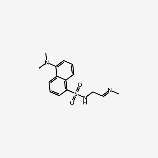 C/N=C/CNS(=O)(=O)c1cccc2c(N(C)C)cccc12